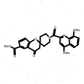 COC(=O)c1ccc2c(c1)C(=O)CC1(CCN(C(=O)c3cc(OC)c4cccc(OC)c4n3)CC1)O2